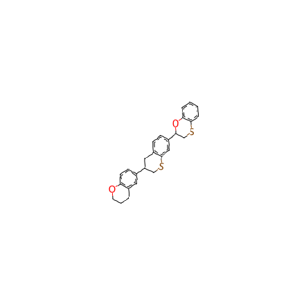 c1ccc2c(c1)OC(c1ccc3c(c1)SCC(c1ccc4c(c1)CCCO4)C3)CS2